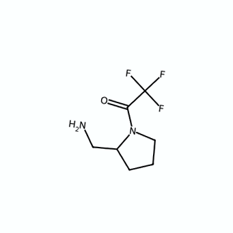 NCC1CCCN1C(=O)C(F)(F)F